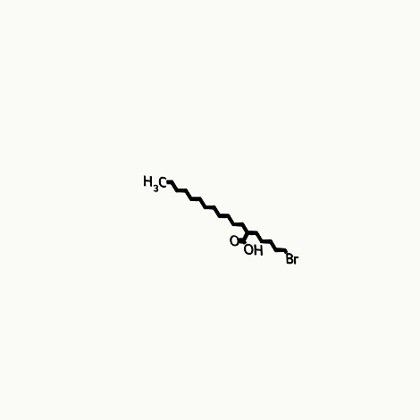 CCCCCCCCCCCCC(CCCCCBr)C(=O)O